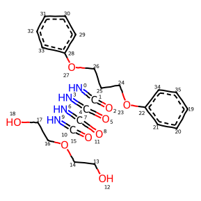 N=C=O.N=C=O.N=C=O.N=C=O.OCCOCCO.c1ccc(OCCCOc2ccccc2)cc1